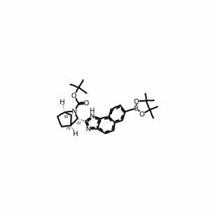 CC(C)(C)OC(=O)N1[C@@H]2CC[C@@H](C2)[C@H]1c1nc2ccc3cc(B4OC(C)(C)C(C)(C)O4)ccc3c2[nH]1